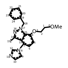 COCCOc1ccc(-n2ccnc2)c2c(I)nn(Cc3ccccc3)c12